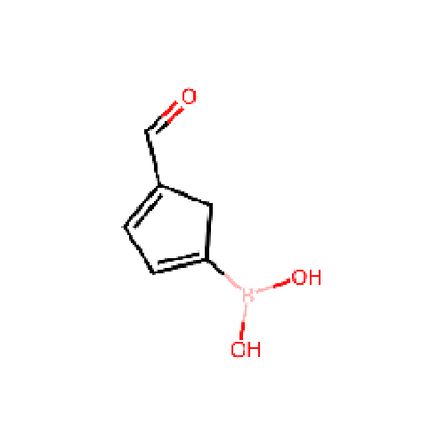 O=CC1=CC=C(B(O)O)C1